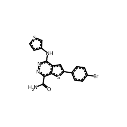 NC(=O)c1nnc(Nc2ccsc2)c2cc(-c3ccc(Br)cc3)sc12